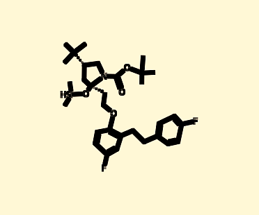 C[SiH](C)O[C@@]1(CCOc2ccc(F)cc2CCc2ccc(F)cc2)C[C@H](C(C)(C)C)CN1C(=O)OC(C)(C)C